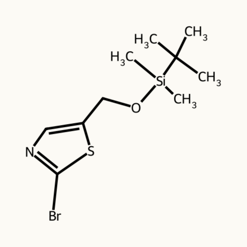 CC(C)(C)[Si](C)(C)OCc1cnc(Br)s1